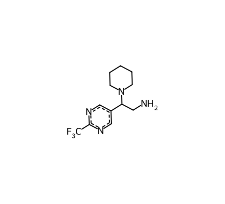 NCC(c1cnc(C(F)(F)F)nc1)N1CCCCC1